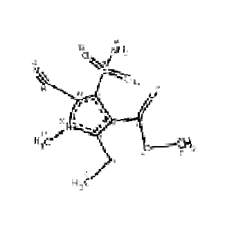 CCc1c(C(=O)OC)c(S(N)(=O)=O)c(C#N)n1C